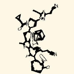 Cc1nc2c(F)c(-c3cccc(Cl)c3Cl)c(CCC#N)cc2c2c1cc(C1CC(n3nc(CC#N)nc3C)CN1C(=O)C1CC1)n2C1C2CNC1C2